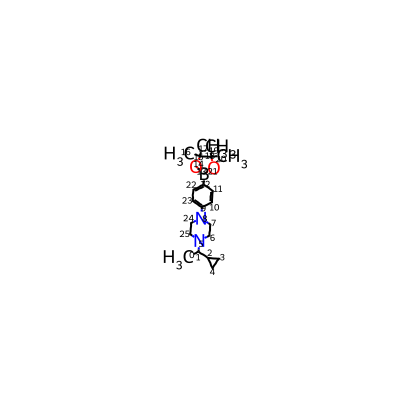 CC(C1CC1)N1CCN(c2ccc(B3OC(C)(C)C(C)(C)O3)cc2)CC1